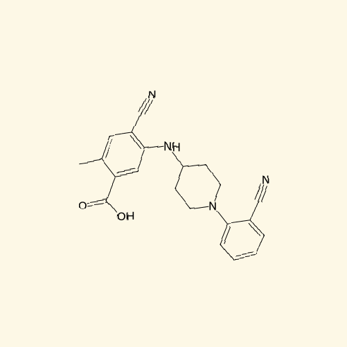 Cc1cc(C#N)c(NC2CCN(c3ccccc3C#N)CC2)cc1C(=O)O